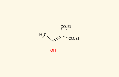 CCOC(=O)C(C(=O)OCC)=C(C)O